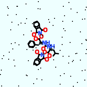 CC(C)C[C@H](NC(=O)N[C@H](Cc1ccccc1)C(=O)ON1C(=O)C2C3C=CC(C3)C2C1=O)C(=O)ON1C(=O)C2C3C=CC(C3)C2C1=O